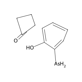 O=C1CCC1.Oc1ccccc1[AsH2]